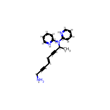 CC(C#CC=CC#CCN)N(c1ccccn1)c1ccccn1